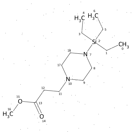 CC[Si](CC)(CC)N1CCN(CCC(=O)OC)CC1